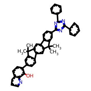 CC1(C)c2cc(-c3nc(-c4ccccc4)nc(-c4ccccc4)n3)ccc2-c2cc3c(cc21)-c1ccc(-c2ccc4cccnc4c2O)cc1C3(C)C